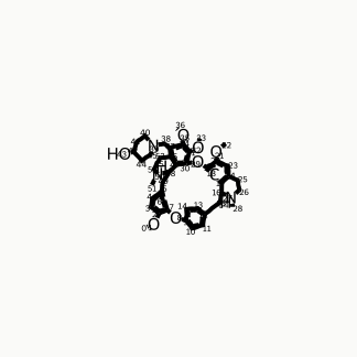 COc1ccc2cc1Oc1ccc(cc1)C[C@H]1c3cc(c(OC)cc3CCN1C)Oc1c(OC)c(OC)c(CN3CCC(O)CC3)c3c1[C@H](C2)N(C)CC3